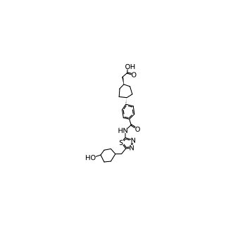 O=C(O)C[C@H]1CC[C@H](c2ccc(C(=O)Nc3nnc(CC4CCC(O)CC4)s3)cc2)CC1